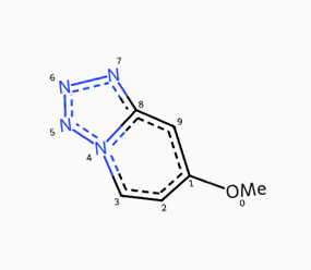 COc1ccn2nnnc2c1